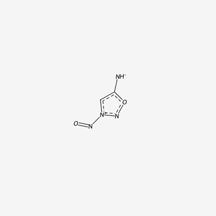 [NH-]c1c[n+](N=O)no1